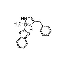 C[N+]1(c2cc3ccccc3o2)NC=C(Cc2ccccc2)N1